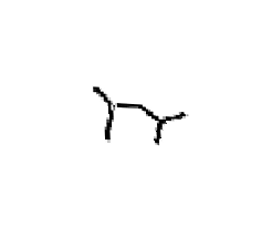 CC(I)CN(C)C